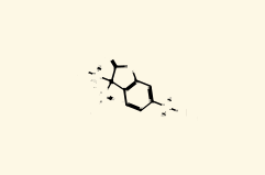 CS(=O)(=O)c1ccc2c(c1)OC(=O)C2(S(C)(=O)=O)S(C)(=O)=O